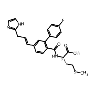 CSCC[C@H](NC(=O)c1ccc(C=CCc2ncc[nH]2)cc1-c1ccc(F)cc1)C(=O)O